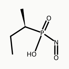 CC[C@@H](C)P(=O)(O)N=O